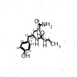 CCNC(=O)N[C@H](CNC(N)=O)Cc1ccc(O)cc1